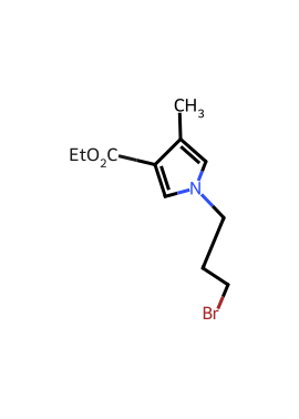 CCOC(=O)c1cn(CCCBr)cc1C